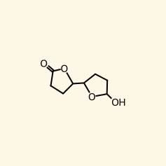 O=C1CCC(C2CCC(O)O2)O1